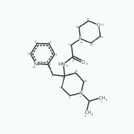 CC(C)N1CCC(Cc2ccccn2)(NC(=O)CN2CCOCC2)CC1